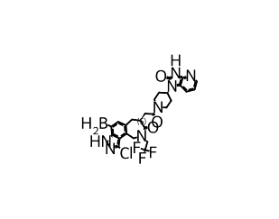 Bc1cc2c(c3c(Cl)n[nH]c13)CN(CC(F)(F)F)C(=O)[C@H](CC(=O)N1CCC(n3c(=O)[nH]c4ncccc43)CC1)C2